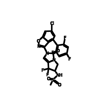 CS(=O)(=O)N[C@@H]1Cn2c(cn(-c3noc4cc(Cl)cc(-c5c(F)cc(F)cc5F)c34)c2=O)C1(F)F